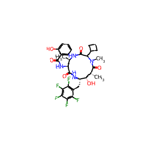 C[C@H]1NC(=O)C(C2CCC2)N(C)C(=O)[C@H](C)[C@H](O)[C@H](Cc2c(F)c(F)c(F)c(F)c2F)NC(=O)[C@H]1NC(=O)c1ccccc1O